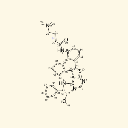 COC[C@@H](Nc1ncnc2sc(-c3cccc(NC(=O)/C=C/CN(C)C)c3)c(-c3ccccc3)c12)c1ccccc1